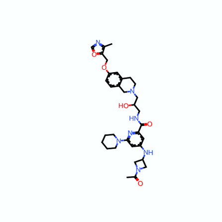 CC(=O)N1CC(Nc2cc(C(=O)NCC(O)CN3CCc4cc(OCc5ocnc5C)ccc4C3)nc(N3CCCCC3)c2)C1